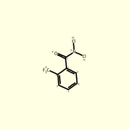 O=C(c1ccccc1C(F)(F)F)N(Cl)Cl